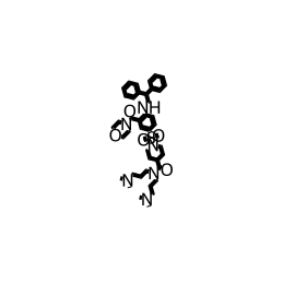 CN(C)CCCN(CCCN(C)C)C(=O)C1CCN(S(=O)(=O)c2ccc(NCC(c3ccccc3)c3ccccc3)c(C(=O)N3CCOCC3)c2)CC1